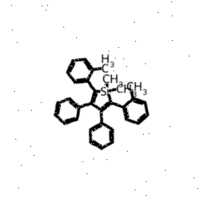 Cc1ccccc1C1=C(c2ccccc2)C(c2ccccc2)=C(c2ccccc2C)[Si]1(C)C